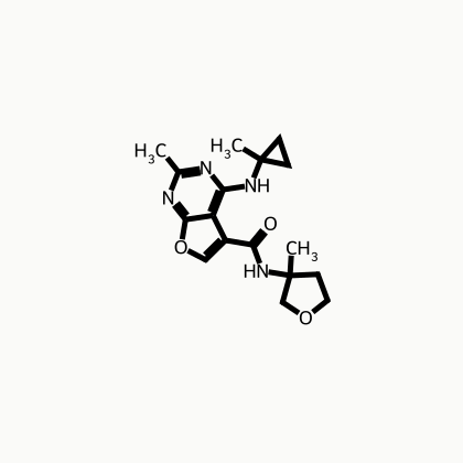 Cc1nc(NC2(C)CC2)c2c(C(=O)NC3(C)CCOC3)coc2n1